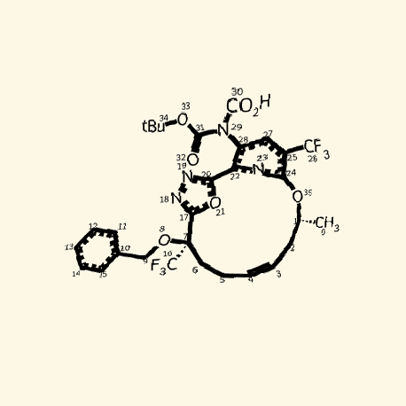 C[C@@H]1CC=CCC[C@](OCc2ccccc2)(C(F)(F)F)c2nnc(o2)-c2nc(c(C(F)(F)F)cc2N(C(=O)O)C(=O)OC(C)(C)C)O1